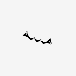 C(SCC1CO1)SCC1CO1